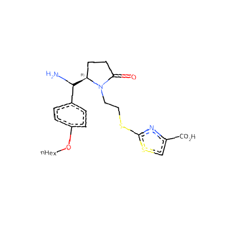 CCCCCCOc1ccc(C(N)[C@H]2CCC(=O)N2CCSc2nc(C(=O)O)cs2)cc1